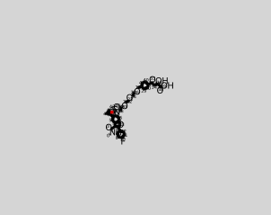 CNC(=O)c1c(-c2ccc(F)cc2)oc2cc(N(CCOCCOCCOCc3ccc(C(=O)/C=C(\O)C(=O)O)cc3)S(C)(=O)=O)c(C3CC3)cc12